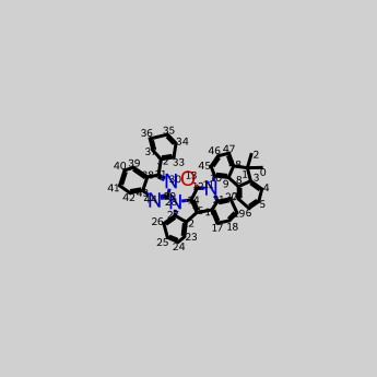 CC1(C)c2ccccc2-c2c(-n3c(=O)c4c(c5ccccc53)c3ccccc3n4-c3nc(-c4ccccc4)c4ccccc4n3)cccc21